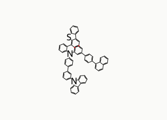 c1cc(-c2ccc(-c3cccc4ccccc34)cc2)cc(N(c2ccc(-c3cccc(-n4c5ccccc5c5ccccc54)c3)cc2)c2ccccc2-c2cccc3c2sc2ccccc23)c1